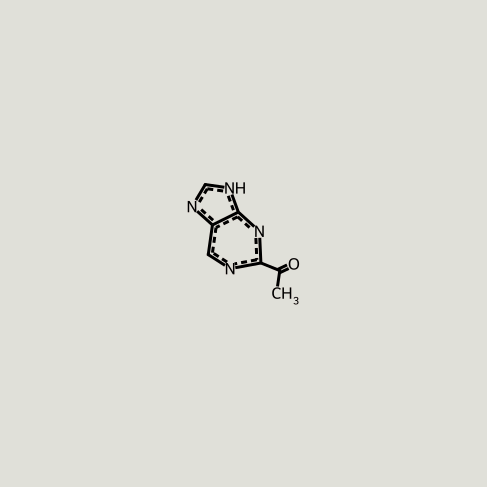 CC(=O)c1ncc2nc[nH]c2n1